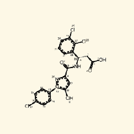 O=C(O)C[C@H](NC(=O)c1cc(O)n(-c2ccc(Cl)cc2)n1)c1cccc(Cl)c1Cl